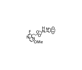 COc1ccc2ncc(F)c(CCC3OCC(NCc4cc5c(cn4)OCCO5)CO3)c2n1